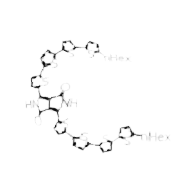 CCCCCCc1ccc(-c2ccc(-c3ccc(-c4ccc(C5=C6C(=O)NC(c7ccc(-c8ccc(-c9ccc(-c%10ccc(CCCCCC)s%10)s9)s8)s7)=C6C(=O)N5)s4)s3)s2)s1